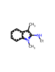 CCNc1c(C)c2ccccc2n1C